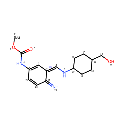 CC(C)(C)OC(=O)NC1=C/C(=C/NC2CCC(CO)CC2)C(=N)C=C1